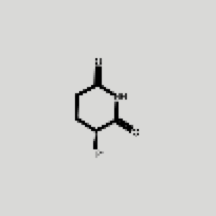 CC(C)[C@H]1CCC(=O)NC1=O